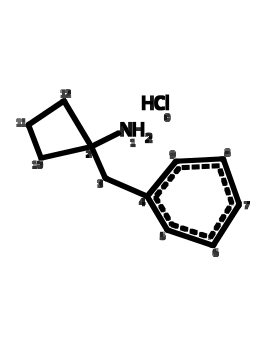 Cl.NC1(Cc2ccccc2)CCC1